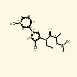 CCN(C(=S)C(C)C[S+](C)[O-])c1cn(-c2ccc[n+]([O-])c2)nc1Cl